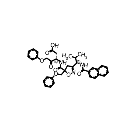 CC(C)[C@H](NC(=O)c1ccc2ccccc2c1)C1=NOC(COc2ccccc2)(C(=O)N[C@@H](CC(=O)O)C(=O)COc2ccccc2)C1